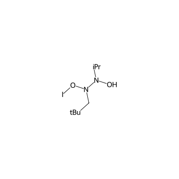 CC(C)N(O)N(CC(C)(C)C)OI